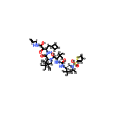 C=CCNC(=O)C(=O)C(CC1CCC1)NC(=O)[C@@H]1[C@@H]2[C@H](CN1C(=O)[C@@H](NC(=O)N[C@H](CN(C(C)C)S(=O)(=O)c1cccs1)C(C)(C)C)C(C)(C)C)C2(C)C